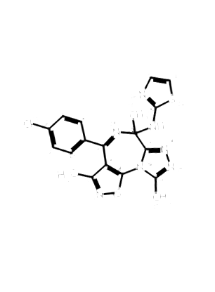 Cc1nsc2c1C(c1ccc(Cl)cc1)=NC(C)(Nc1nccs1)c1nnc(C)n1-2